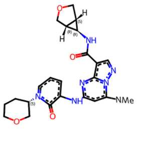 CNc1cc(Nc2cccn([C@H]3CCCOC3)c2=O)nc2c(C(=O)N[C@H]3[C@@H]4COC[C@@H]43)cnn12